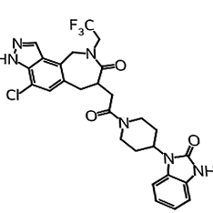 O=C(CC1Cc2cc(Cl)c3[nH]ncc3c2CN(CC(F)(F)F)C1=O)N1CCC(n2c(=O)[nH]c3ccccc32)CC1